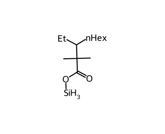 CCCCCCC(CC)C(C)(C)C(=O)O[SiH3]